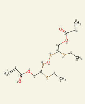 C=CC(=O)OCC(SCC)SOSC(COC(=O)C=C)SCC